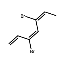 C=C/C(Br)=C\C(Br)=C/C